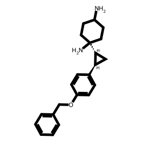 NC1CCC(N)([C@@H]2C[C@H]2c2ccc(OCc3ccccc3)cc2)CC1